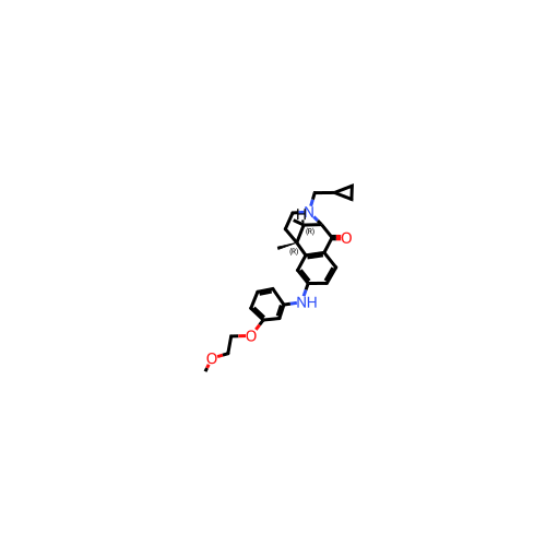 COCCOc1cccc(Nc2ccc3c(c2)[C@]2(C)CCN(CC4CC4)C(C3=O)[C@@H]2C)c1